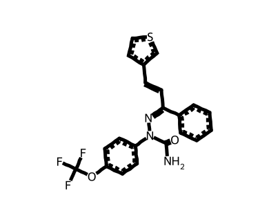 NC(=O)N(/N=C(/C=C/c1ccsc1)c1ccccc1)c1ccc(OC(F)(F)F)cc1